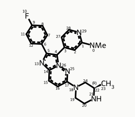 CNc1cc(-c2c(-c3ccc(F)cc3)nc3ccc(N4CCN[C@H](C)C4)nn23)ccn1